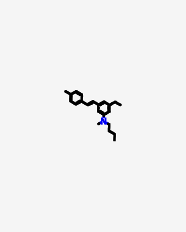 CCCCN(C)c1cc(/C=C/c2ccc(C)cc2)cc(CC)c1